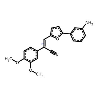 COc1ccc(/C(C#N)=C/c2ccc(-c3cccc(N)c3)o2)cc1OC